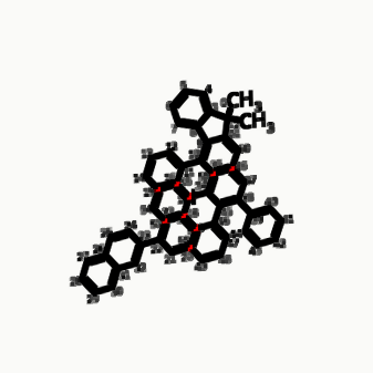 CC1(C)c2ccccc2-c2c(-c3ccccc3N(c3cccc(-c4ccc5ccccc5c4)c3)c3cccc(-c4ccccc4)c3-c3ccccc3-c3ccccc3)cccc21